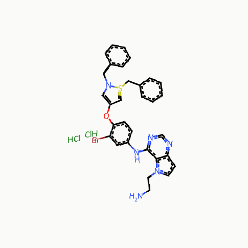 Cl.Cl.NCCn1ccc2ncnc(Nc3ccc(OC4=CN(Cc5ccccc5)S(Cc5ccccc5)=C4)c(Br)c3)c21